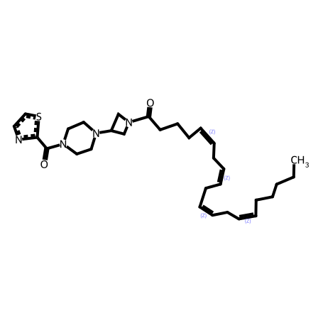 CCCCC/C=C\C/C=C\C/C=C\C/C=C\CCCC(=O)N1CC(N2CCN(C(=O)c3nccs3)CC2)C1